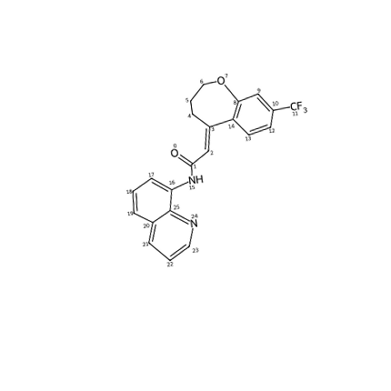 O=C(/C=C1\CCCOc2cc(C(F)(F)F)ccc21)Nc1cccc2cccnc12